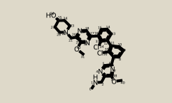 CNCc1ncc(-c2cccc(-c3cccc(-c4cnc(CN5CCC(O)CC5)c(OC)n4)c3Cl)c2Cl)nc1OC